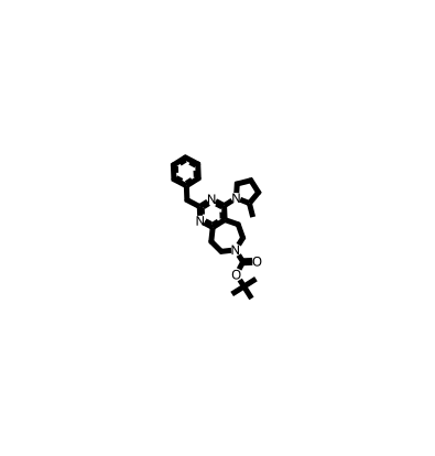 CC1CCCN1c1nc(Cc2ccccc2)nc2c1CCN(C(=O)OC(C)(C)C)CC2